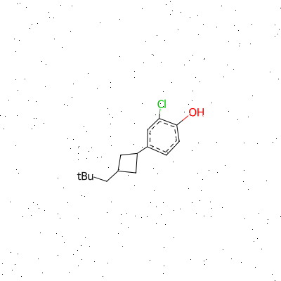 CC(C)(C)CC1CC(c2ccc(O)c(Cl)c2)C1